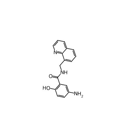 Nc1ccc(O)c(C(=O)NCc2cccc3cccnc23)c1